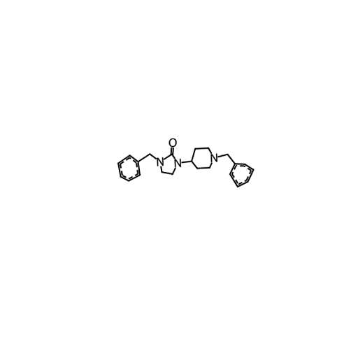 O=C1N(Cc2ccccc2)CCN1C1CCN(Cc2ccccc2)CC1